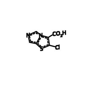 O=C(O)c1c(Cl)sc2cncn12